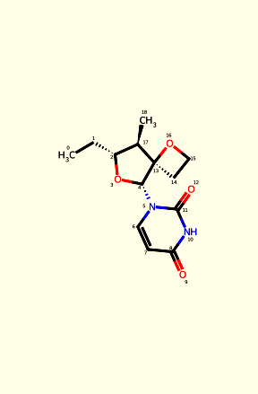 CC[C@H]1O[C@@H](n2ccc(=O)[nH]c2=O)[C@@]2(CCO2)[C@@H]1C